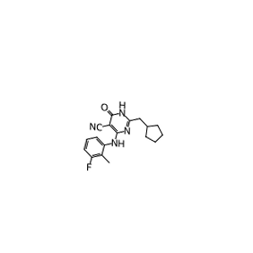 Cc1c(F)cccc1Nc1nc(CC2CCCC2)[nH]c(=O)c1C#N